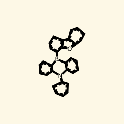 c1ccc(N2c3ccccc3B(c3cccc4c3oc3ccccc34)c3ccccc32)cc1